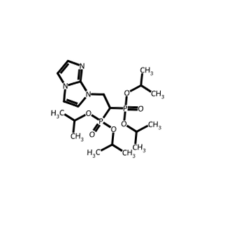 CC(C)OP(=O)(OC(C)C)C(Cn1ccn2ccnc12)P(=O)(OC(C)C)OC(C)C